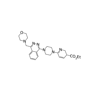 CCOC(=O)C1C=CC(N2CCN(c3nnc(CN4CCOCC4)c4ccccc34)CC2)=NC1